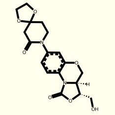 O=C1CC2(CCN1c1ccc3c(c1)OC[C@H]1[C@H](CO)OC(=O)N31)OCCO2